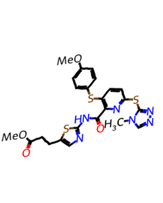 COC(=O)CCc1cnc(NC(=O)c2nc(Sc3nncn3C)ccc2Sc2ccc(OC)cc2)s1